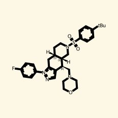 CC(C)(C)c1ccc(S(=O)(=O)N2CC[C@H]3Cc4c(cnn4-c4ccc(F)cc4)[C@H](CN4CCOCC4)[C@H]3C2)cc1